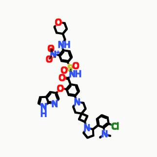 CN(C)c1c(Cl)cccc1C1CCCN1C1CC2(CCN(c3ccc(C(=O)NS(=O)(=O)c4ccc(NCC5CCOCC5)c([N+](=O)[O-])c4)c(Oc4cnc5[nH]ccc5c4)c3)CC2)C1